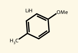 COc1ccc(C)cc1.[LiH]